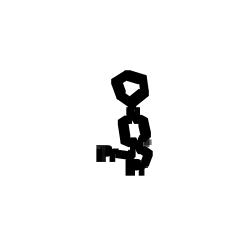 CC(C)C[N+]1(CC(C)C)C=CN(c2ccccc2)C=C1